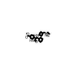 COC(=O)c1ccc2c(c1)NC(=O)C2=C(Nc1ccc(Cn2ccnn2)cc1)c1ccccc1